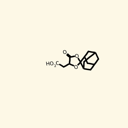 O=C(O)CC1OC2(OC1=O)C1CC3CC(C1)CC2C3